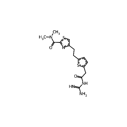 CN(C)C(=O)c1nc(CCc2ccc(CC(=O)NC(=N)N)s2)cs1